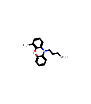 Cc1cccc2c1Oc1ccccc1N2CCCS(=O)(=O)O